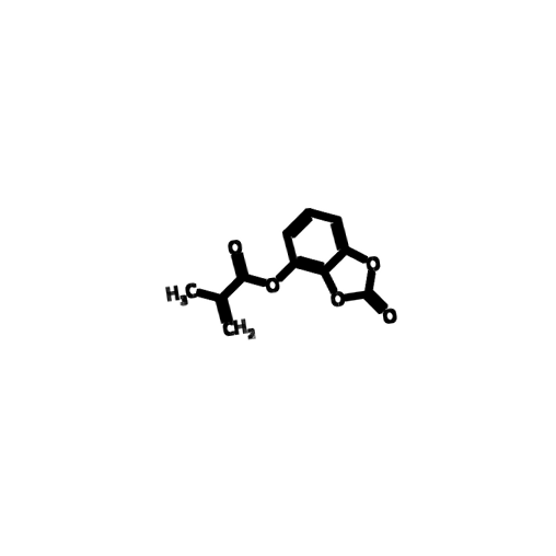 C=C(C)C(=O)Oc1cccc2oc(=O)oc12